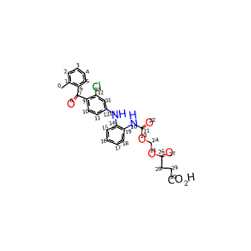 Cc1ccccc1C(=O)c1ccc(Nc2ccccc2NC(=O)OCOC(=O)CCC(=O)O)cc1Cl